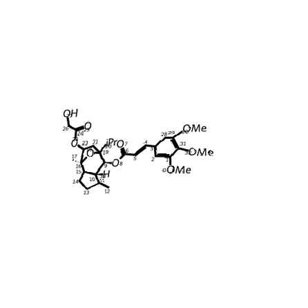 COC1=CC(/C=C/C(=O)O[C@H]2[C@@H]3C(C)CCC3[C@]3(C)OC2(C(C)C)CC3OC(=O)CO)CC(OC)=C1OC